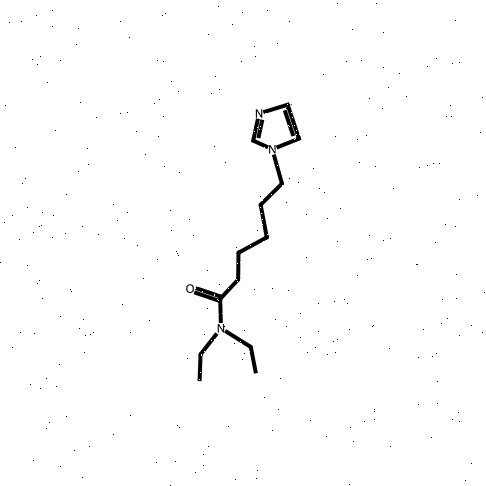 CCN(CC)C(=O)CCCCCn1c[c]nc1